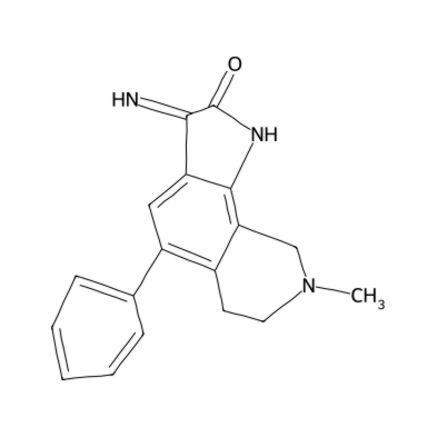 CN1CCc2c(-c3ccccc3)cc3c(c2C1)NC(=O)C3=N